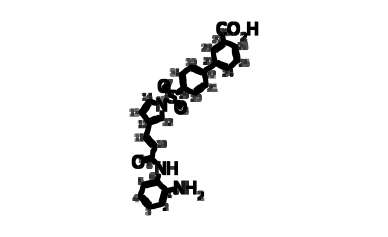 Nc1ccccc1NC(=O)C=Cc1ccn(S(=O)(=O)c2ccc(-c3cccc(C(=O)O)c3)cc2)c1